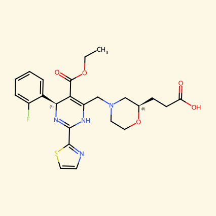 CCOC(=O)C1=C(CN2CCO[C@H](CCC(=O)O)C2)NC(c2nccs2)=N[C@H]1c1ccccc1F